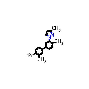 CCCc1ccc(-c2ccc(C)c(-n3ccc(C)n3)c2)cc1C